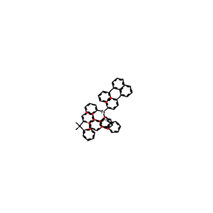 CC1(C)c2ccccc2-c2c(-c3ccccc3N(c3ccc(-c4cccc5cccc(-c6ccccc6)c45)cc3)c3ccccc3-c3cccc4c3oc3ccccc34)cccc21